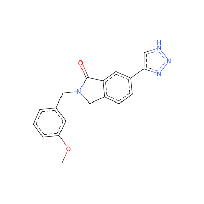 COc1cccc(CN2Cc3ccc(-c4c[nH]nn4)cc3C2=O)c1